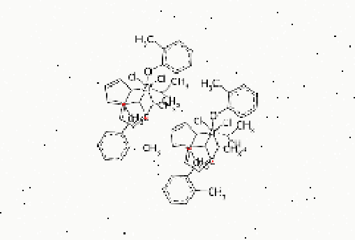 Cc1ccccc1OC1=CC=C[CH]1[Zr]([Cl])([Cl])([O]c1ccccc1C)([CH](C)C)([CH](C)C)[CH]1C=CC=C1.Cc1ccccc1OC1=CC=C[CH]1[Zr]([Cl])([Cl])([O]c1ccccc1C)([CH](C)C)([CH](C)C)[CH]1C=CC=C1